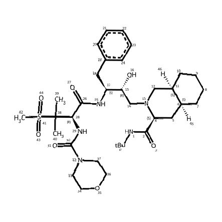 CC(C)(C)NC(=O)[C@@H]1C[C@@H]2CCCC[C@@H]2CN1C[C@@H](O)[C@H](Cc1ccccc1)NC(=O)[C@@H](NC(=O)N1CCOCC1)C(C)(C)S(C)(=O)=O